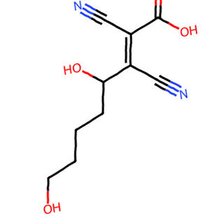 N#CC(C(=O)O)=C(C#N)C(O)CCCCO